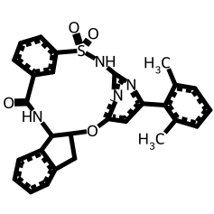 Cc1cccc(C)c1-c1cc2nc(n1)NS(=O)(=O)c1cccc(c1)C(=O)NC1c3ccccc3CC1O2